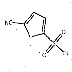 CCS(=O)(=O)c1ccc(C#N)s1